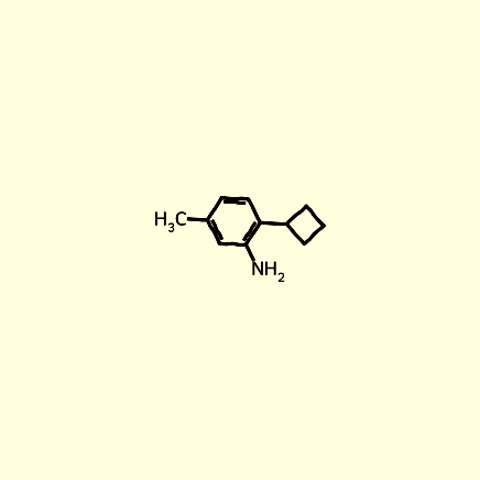 Cc1ccc(C2CCC2)c(N)c1